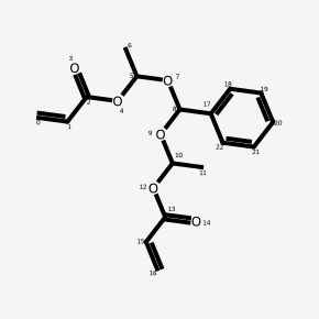 C=CC(=O)OC(C)OC(OC(C)OC(=O)C=C)c1ccccc1